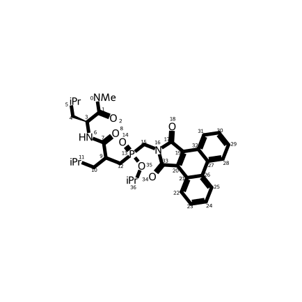 CNC(=O)[C@H](CC(C)C)NC(=O)C(CC(C)C)CP(=O)(CN1C(=O)c2c(c3ccccc3c3ccccc23)C1=O)OC(C)C